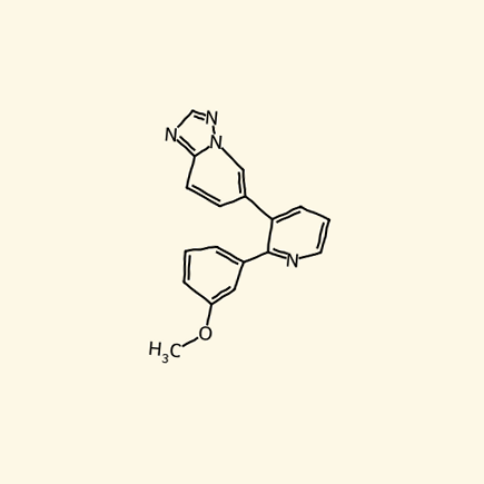 COc1cccc(-c2ncccc2-c2ccc3ncnn3c2)c1